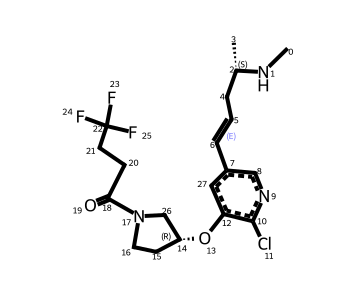 CN[C@@H](C)C/C=C/c1cnc(Cl)c(O[C@@H]2CCN(C(=O)CCC(F)(F)F)C2)c1